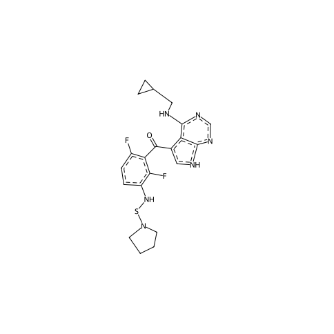 O=C(c1c(F)ccc(NSN2CCCC2)c1F)c1c[nH]c2ncnc(NCC3CC3)c12